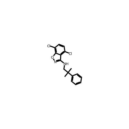 CC(C)(CNc1noc2c(Cl)ccc(Cl)c12)c1ccccc1